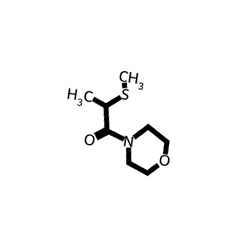 CSC(C)C(=O)N1CCOCC1